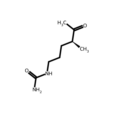 CC(=O)[C@@H](C)CCCNC(N)=O